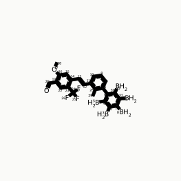 Bc1c(B)c(B)c(-c2cccc(/C=C/c3cc(OC)c(C=O)cc3C(F)(F)F)c2C)c(B)c1B